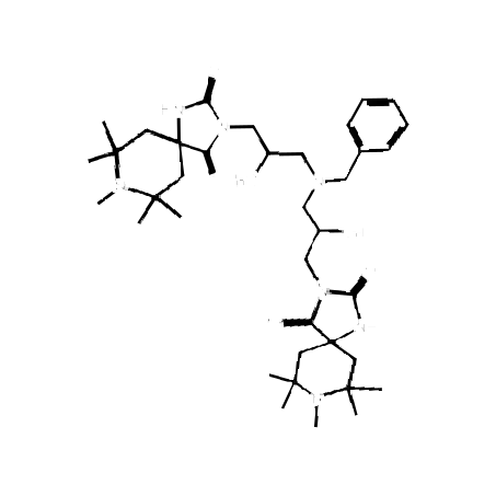 CN1C(C)(C)CC2(CC1(C)C)NC(=O)N(CC(O)CN(Cc1ccccc1)CC(O)CN1C(=O)NC3(CC(C)(C)N(C)C(C)(C)C3)C1=O)C2=O